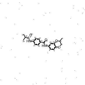 CC1COc2ccc(NC(=O)c3ccc(N[S+]([O-])C(C)C)cc3)cc2O1